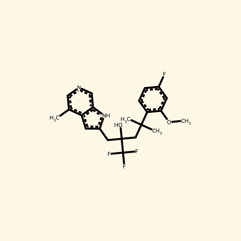 COc1cc(F)ccc1C(C)(C)CC(O)(Cc1cc2c(C)cncc2[nH]1)C(F)(F)F